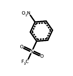 O=[N+]([O-])c1cccc(S(=O)(=O)C(F)(F)F)c1